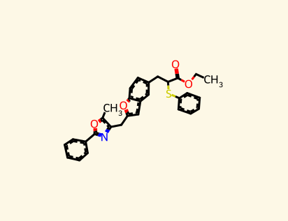 CCOC(=O)C(Cc1ccc2oc(Cc3nc(-c4ccccc4)oc3C)cc2c1)Sc1ccccc1